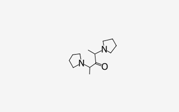 CC(C(=O)C(C)N1CCCC1)N1CCCC1